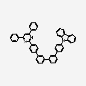 c1ccc(-c2cc(-c3ccccc3)nc(-c3ccc(-c4cccc(-c5cccc(-c6ccc(-n7c8ccccc8c8ccccc87)cc6)c5)c4)cc3)n2)cc1